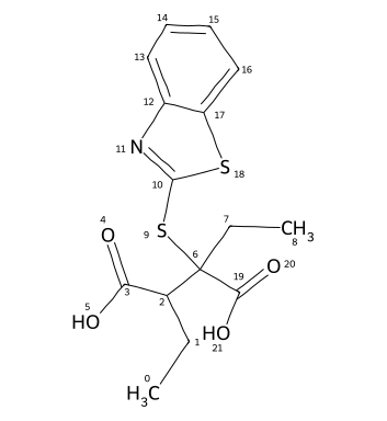 CCC(C(=O)O)C(CC)(Sc1nc2ccccc2s1)C(=O)O